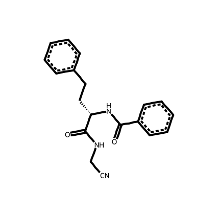 N#CCNC(=O)[C@H](CCc1ccccc1)NC(=O)c1ccccc1